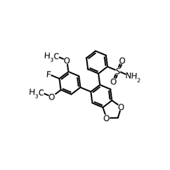 COc1cc(-c2cc3c(cc2-c2ccccc2S(N)(=O)=O)OCO3)cc(OC)c1F